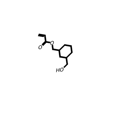 C=CC(=O)OCC1CCCC(CO)C1